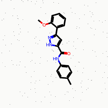 COc1ccccc1-c1cc(C(=O)Nc2ccc(C)cc2)[nH]n1